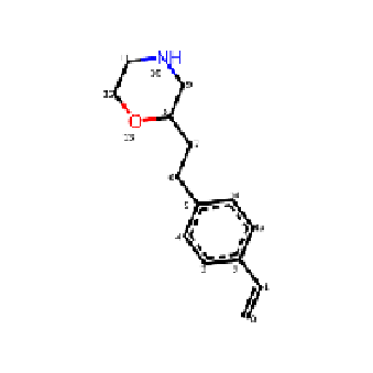 C=Cc1ccc(CCC2CNCCO2)cc1